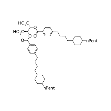 CCCCCC1CCC(CCCCc2ccc(C(=O)O[C@@H](C(=O)O)[C@@H](OC(=O)c3ccc(CCCCC4CCC(CCCCC)CC4)cc3)C(=O)O)cc2)CC1